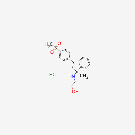 CC(CCc1ccc(S(C)(=O)=O)cc1)(NCCO)c1ccccc1.Cl